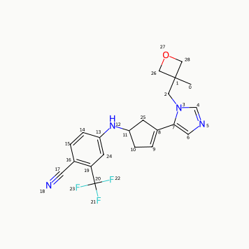 CC1(Cn2cncc2C2=CCC(Nc3ccc(C#N)c(C(F)(F)F)c3)C2)COC1